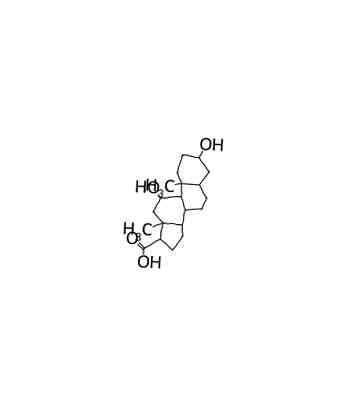 CC12CC(O)C3C(CCC4CC(O)CCC43C)C1CCC2C(=O)O